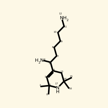 CC1(C)C=C(C(N)CCCCCN)CC(C)(C)N1